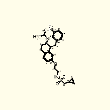 CC(C)NC1CCc2ccc(OCCNS(=O)(=O)CC3CC3)cc2C1Cc1cccc(N)c1